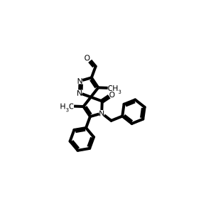 CC1=C(C=O)N=NC12C(=O)N(Cc1ccccc1)C(c1ccccc1)=C2C